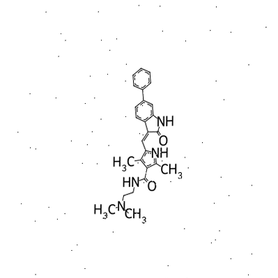 Cc1[nH]c(/C=C2\C(=O)Nc3cc(-c4ccccc4)ccc32)c(C)c1C(=O)NCCN(C)C